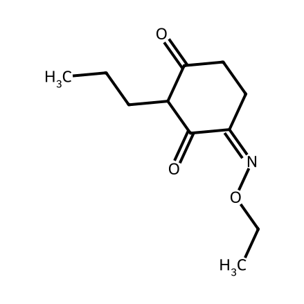 CCCC1C(=O)CCC(=NOCC)C1=O